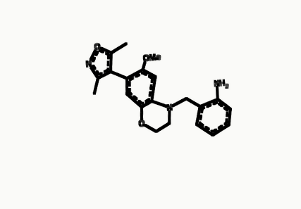 COc1cc2c(cc1-c1c(C)noc1C)OCCN2Cc1ccccc1N